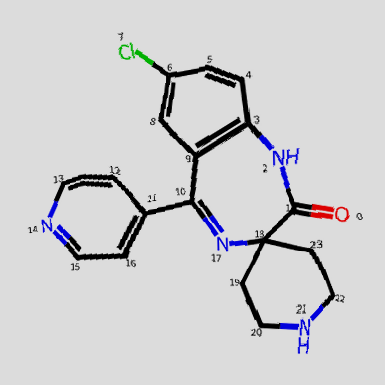 O=C1Nc2ccc(Cl)cc2C(c2ccncc2)=NC12CCNCC2